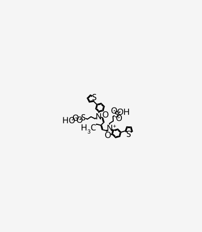 CCC(=Cc1oc2ccc(-c3cccs3)cc2[n+]1CCCS(=O)(=O)O)C=C1Oc2ccc(-c3cccs3)cc2N1CCCSOOO